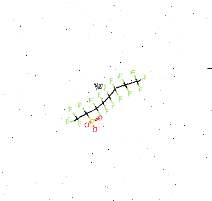 O=S(=O)([O-])C(F)(C(F)(F)F)C(F)(F)C(F)(F)C(F)(F)C(F)(F)C(F)(F)C(F)(F)F.[Na+]